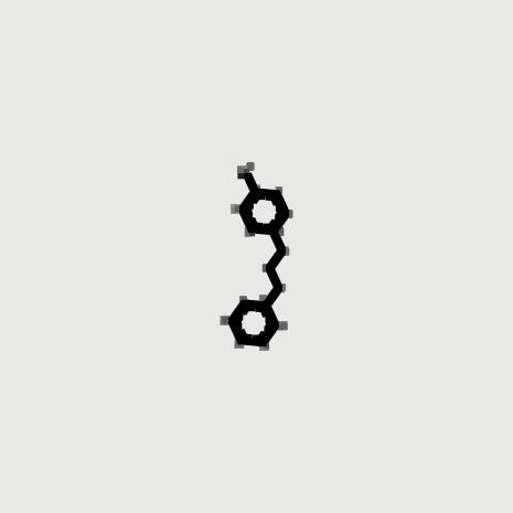 [Li][c]1ccc(CCCc2ccccc2)cc1